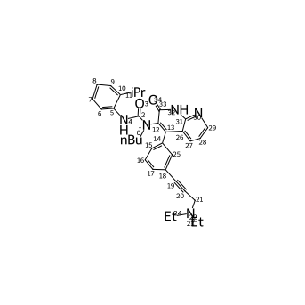 CCCCN(C(=O)Nc1ccccc1C(C)C)c1c(-c2cccc(C#CCN(CC)CC)c2)c2cccnc2[nH]c1=O